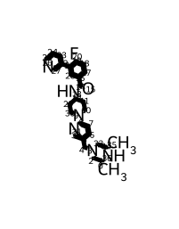 CC1CN(Cc2ccc(N3CCC(NC(=O)c4ccc(F)c(-c5cccnc5)c4)CC3)nc2)CC(C)N1